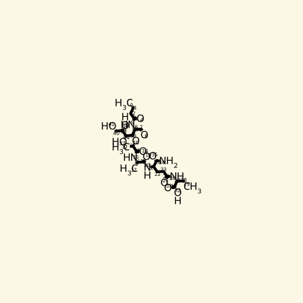 CCCC(=O)N[C@@H](C=O)[C@@H](OC(C)C(=O)NC(C)C(=O)NC(CCC(=O)NC(CC)C(=O)O)C(N)=O)[C@H](O)[C@H](O)CO